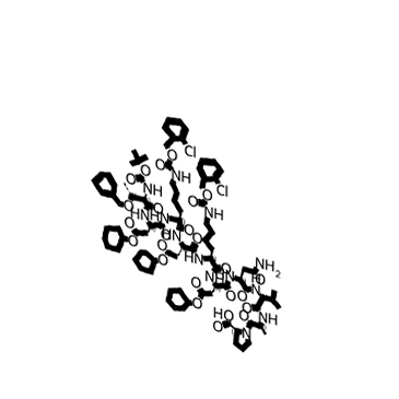 CC(C)[C@H](NC(=O)[C@H](CC(N)=O)NC(=O)[C@H](CC(=O)OC1CCCCC1)NC(=O)[C@H](CCCCNC(=O)OCc1ccccc1Cl)NC(=O)[C@H](CC(=O)OC1CCCCC1)NC(=O)[C@H](CCCCNC(=O)OCc1ccccc1Cl)NC(=O)[C@H](CC(=O)OC1CCCCC1)NC(=O)[C@@H](NC(=O)OC(C)(C)C)[C@@H](C)OCc1ccccc1)C(=O)N[C@@H](C)C(=O)N1CCC[C@H]1C(=O)O